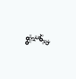 CC(=O)c1nn(CC(=O)N(CC(=O)Nc2cccc(-c3ccccc3Cl)c2F)C(C)C)c2ccc(NC(=O)N3CCCC(F)(F)C3)cc12